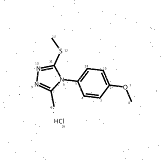 COc1ccc(-n2c(C)nnc2SC)cc1.Cl